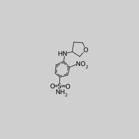 NS(=O)(=O)c1ccc(NC2CCOC2)c([N+](=O)[O-])c1